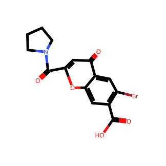 O=C(O)c1cc2oc(C(=O)N3CCCC3)cc(=O)c2cc1Br